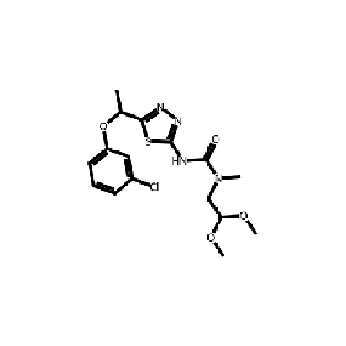 COC(CN(C)C(=O)Nc1nnc(C(C)Oc2cccc(Cl)c2)s1)OC